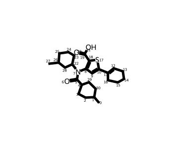 CC1CCC(C(=O)N(c2cc(C3=CCCCC3)sc2C(=O)O)C2CCCC(C)C2)CC1